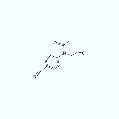 CC(=O)N(CCCl)c1ccc(C#N)cc1